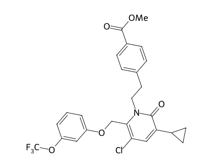 COC(=O)c1ccc(CCn2c(COc3cccc(OC(F)(F)F)c3)c(Cl)cc(C3CC3)c2=O)cc1